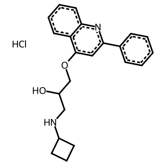 Cl.OC(CNC1CCC1)COc1cc(-c2ccccc2)nc2ccccc12